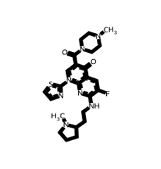 CN1CCN(C(=O)c2cn(-c3nccs3)c3nc(NCCC4CCCN4C)c(F)cc3c2=O)CC1